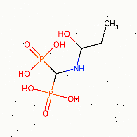 CCC(O)NC(P(=O)(O)O)P(=O)(O)O